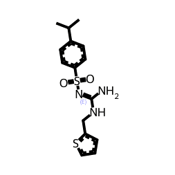 CC(C)c1ccc(S(=O)(=O)/N=C(\N)NCc2cccs2)cc1